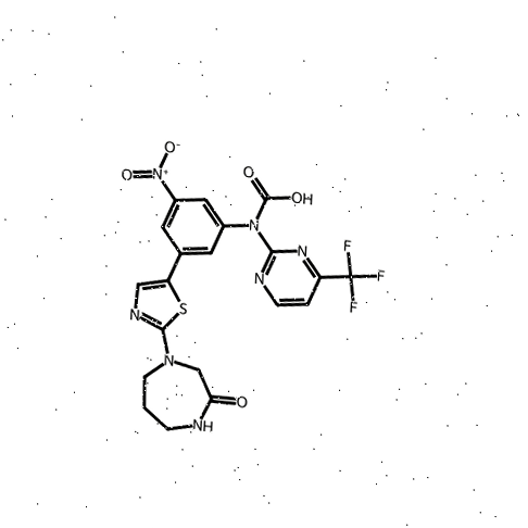 O=C1CN(c2ncc(-c3cc(N(C(=O)O)c4nccc(C(F)(F)F)n4)cc([N+](=O)[O-])c3)s2)CCCN1